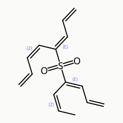 C=C/C=C\C(=C/C=C)S(=O)(=O)C(/C=C\C)=C/C=C